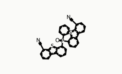 N#Cc1cccc2c1sc1c(P(=O)(c3ccccc3)c3cccc4c3sc3c(C#N)cccc34)cccc12